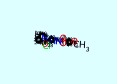 COc1ccc(OC(=O)NCc2ccc(C(=O)N3CCC[C@@H]4CCCC[C@H]43)c(Cl)c2)cc1